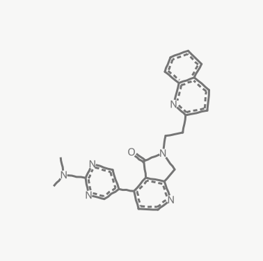 CN(C)c1ncc(-c2ccnc3c2C(=O)N(CCc2ccc4ccccc4n2)C3)cn1